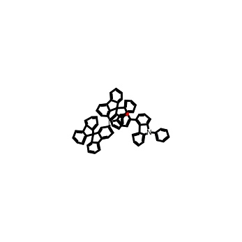 c1ccc(-n2c3ccccc3c3c(-c4ccc(N(c5ccc6c(c5)C5(c7ccccc7-c7ccccc75)c5ccccc5-6)c5cccc6c5C5(c7ccccc7-c7ccccc75)c5ccccc5-6)cc4)cccc32)cc1